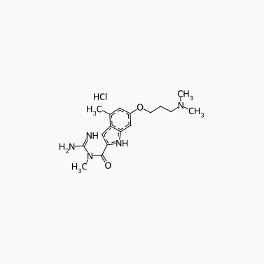 Cc1cc(OCCCN(C)C)cc2[nH]c(C(=O)N(C)C(=N)N)cc12.Cl